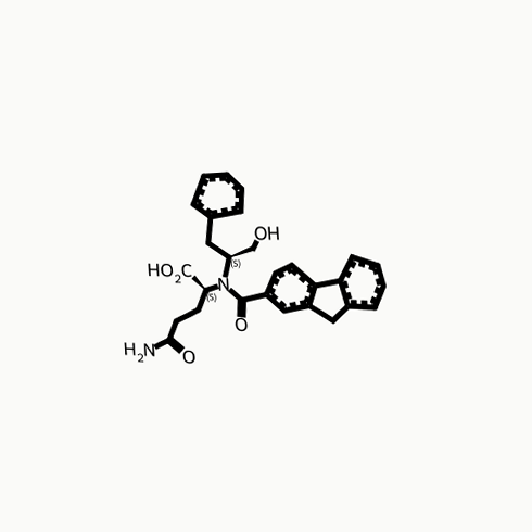 NC(=O)CC[C@@H](C(=O)O)N(C(=O)c1ccc2c(c1)Cc1ccccc1-2)[C@H](CO)Cc1ccccc1